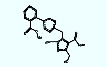 CCCCc1nc(CO)c(C(=O)NC)n1Cc1ccc(-c2ccccc2C(=O)OC(C)(C)C)cc1